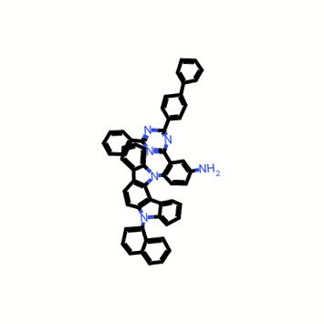 Nc1ccc(-n2c3ccccc3c3ccc4c(c5ccccc5n4-c4cccc5ccccc45)c32)c(-c2nc(-c3ccccc3)nc(-c3ccc(-c4ccccc4)cc3)n2)c1